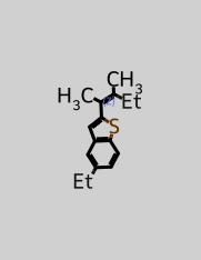 CC/C(C)=C(/C)c1cc2cc(CC)ccc2s1